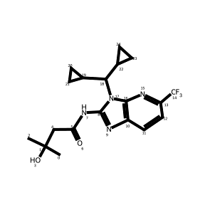 CC(C)(O)CC(=O)Nc1nc2ccc(C(F)(F)F)nc2n1C(C1CC1)C1CC1